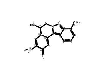 COc1cccc2c3n(nc12)CC(C(C)(C)C)n1cc(C(=O)O)c(=O)cc1-3